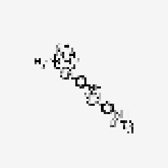 CN(C)CC(C)(C)CN1CCN(c2ccc(Nc3nccc(-c4ccc(NC(=O)C5CCOC5)cc4)n3)cc2)CC1